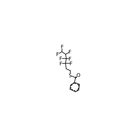 O=C(SCCC(F)(F)C(F)(F)C(F)C(F)F)c1ccccc1